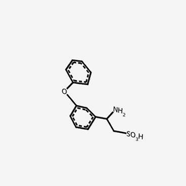 NC(CS(=O)(=O)O)c1cccc(Oc2ccccc2)c1